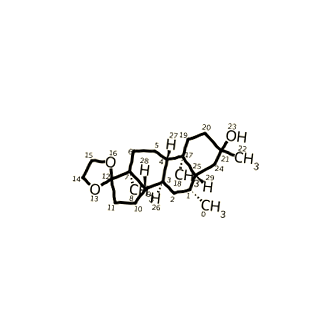 C[C@@H]1C[C@@H]2[C@H](CC[C@@]3(C)[C@H]2CCC32OCCO2)[C@@]2(C)CCC(C)(O)C[C@H]12